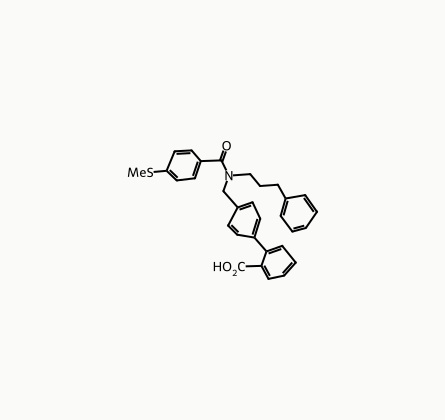 CSc1ccc(C(=O)N(CCCc2ccccc2)Cc2ccc(-c3ccccc3C(=O)O)cc2)cc1